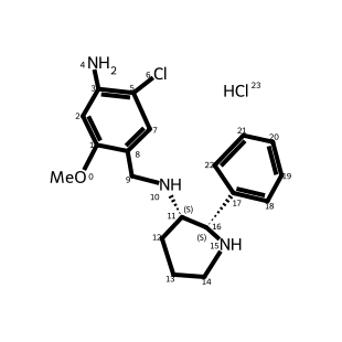 COc1cc(N)c(Cl)cc1CN[C@H]1CCCN[C@H]1c1ccccc1.Cl